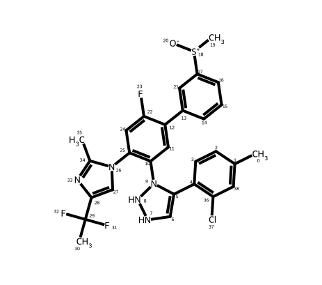 Cc1ccc(C2=CNNN2c2cc(-c3cccc([S+](C)[O-])c3)c(F)cc2-n2cc(C(C)(F)F)nc2C)c(Cl)c1